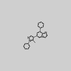 Cc1c(-c2cc(-c3ccccc3)c3nccn3c2)cnn1-c1ccccc1